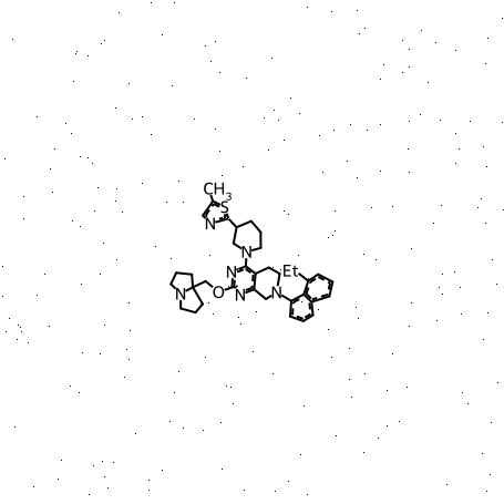 CCc1cccc2cccc(N3CCc4c(nc(OCC56CCCN5CCC6)nc4N4CCCC(c5ncc(C)s5)C4)C3)c12